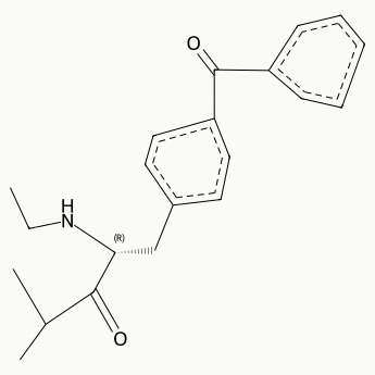 CCN[C@H](Cc1ccc(C(=O)c2ccccc2)cc1)C(=O)C(C)C